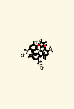 CC1=C(C)[C](C)([Ti+3])C([Si](c2c(C)c(C)cc(N(C)C)c2N(C)C)(c2c(C)c(C)cc(N(C)C)c2N(C)C)c2c(C)c(C)cc(N(C)C)c2N(C)C)=C1C.[Cl-].[Cl-].[Cl-]